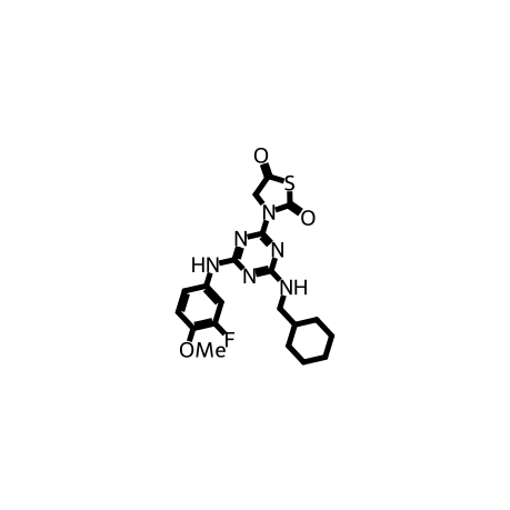 COc1ccc(Nc2nc(NCC3CCCCC3)nc(N3CC(=O)SC3=O)n2)cc1F